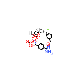 CC(C)(C)OC(=O)ON(Cc1ccc(/C(N)=N\OCc2ccc(F)cc2)cc1)OC(=O)O